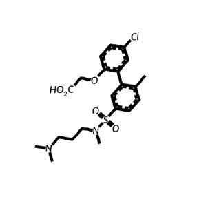 Cc1ccc(S(=O)(=O)N(C)CCCN(C)C)cc1-c1cc(Cl)ccc1OCC(=O)O